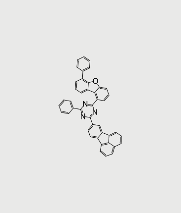 c1ccc(-c2nc(-c3ccc4c(c3)-c3cccc5cccc-4c35)nc(-c3cccc4oc5c(-c6ccccc6)cccc5c34)n2)cc1